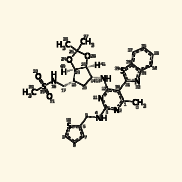 Cc1nc(NCc2cccs2)nc(N[C@@H]2C[C@H](CNS(C)(=O)=O)[C@H]3OC(C)(C)O[C@H]32)c1-c1nc2ccccc2s1